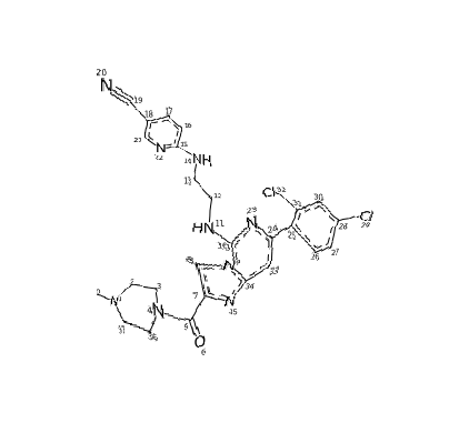 CN1CCN(C(=O)c2cn3c(NCCNc4ccc(C#N)cn4)nc(-c4ccc(Cl)cc4Cl)cc3n2)CC1